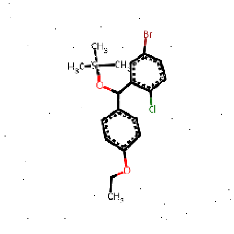 CCOc1ccc(C(O[Si](C)(C)C)c2cc(Br)ccc2Cl)cc1